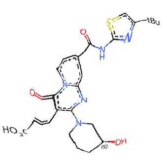 CC(C)(C)c1csc(NC(=O)c2ccn3c(=O)c(C=CC(=O)O)c(N4CCC[C@H](O)C4)nc3c2)n1